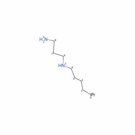 CC(C)CCCCNCCCN